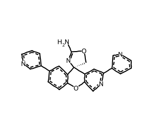 NC1=N[C@]2(CO1)c1cc(-c3cccnc3)ccc1Oc1cnc(-c3cccnc3)cc12